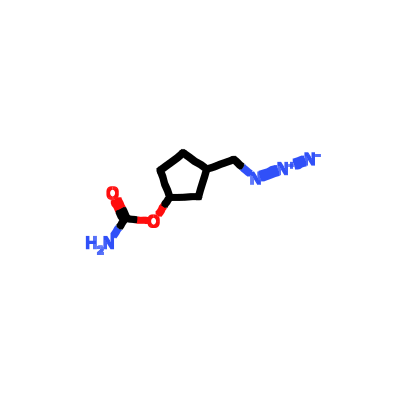 [N-]=[N+]=NCC1CCC(OC(N)=O)C1